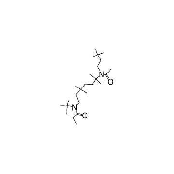 CCC(=O)N(CCC(C)(C)CCC(C)(C)N(CCC(C)(C)C)C(C)=O)C(C)(C)C